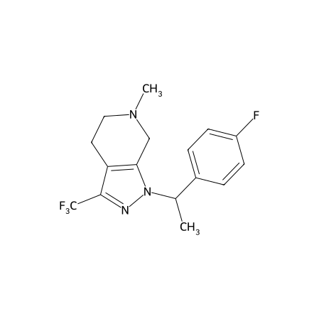 CC(c1ccc(F)cc1)n1nc(C(F)(F)F)c2c1CN(C)CC2